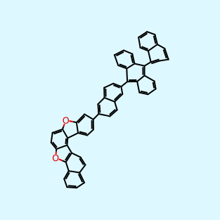 c1ccc2c(-c3c4ccccc4c(-c4ccc5cc(-c6ccc7c(c6)oc6ccc8oc9c%10ccccc%10ccc9c8c67)ccc5c4)c4ccccc34)cccc2c1